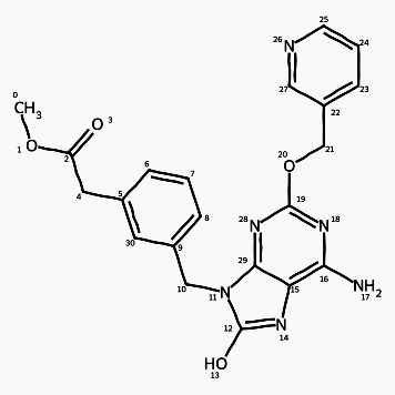 COC(=O)Cc1cccc(Cn2c(O)nc3c(N)nc(OCc4cccnc4)nc32)c1